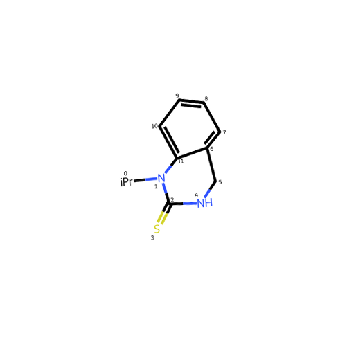 CC(C)N1C(=S)NCc2ccccc21